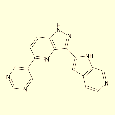 c1cc2cc(-c3n[nH]c4ccc(-c5cncnc5)nc34)[nH]c2cn1